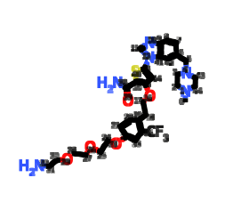 CN1CCN(Cc2ccc3ncn(-c4cc(OCCc5ccc(OCCOCCOCCN)cc5C(F)(F)F)c(C(N)=O)s4)c3c2)CC1